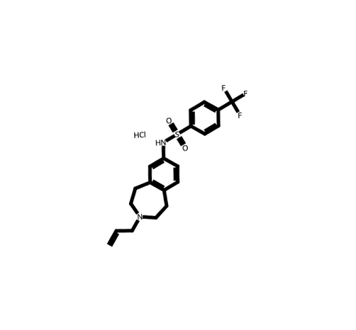 C=CCN1CCc2ccc(NS(=O)(=O)c3ccc(C(F)(F)F)cc3)cc2CC1.Cl